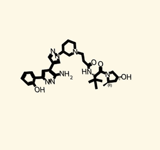 C[C@@H]1C[C@@H](O)CN1C(=O)[C@@H](NC(=O)CCN1CCCC(n2cc(-c3cc(-c4ccccc4O)nnc3N)cn2)C1)C(C)(C)C